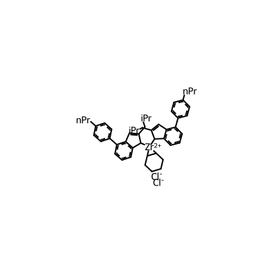 CCCc1ccc(-c2cccc3c2C=C(CC(C)C)[CH]3[Zr+2]2([CH]3C(CC(C)C)=Cc4c(-c5ccc(CCC)cc5)cccc43)[CH]3CCCC[CH]32)cc1.[Cl-].[Cl-]